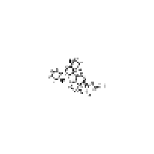 Nc1nccc2c(-c3cc(-c4ccccc4F)nc4ncccc34)cnc(OCCO)c12